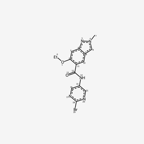 CCOc1cc2nn(C)cc2cc1C(=O)Nc1cnc(Br)nc1